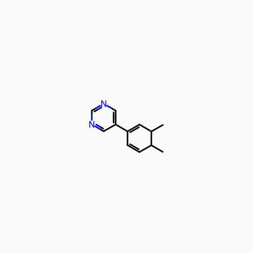 CC1C=CC(c2cncnc2)=CC1C